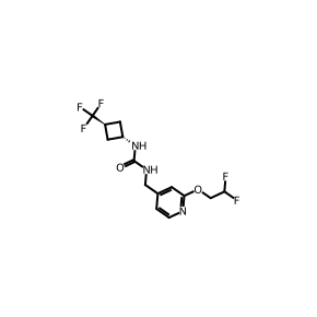 O=C(NCc1ccnc(OCC(F)F)c1)N[C@H]1C[C@H](C(F)(F)F)C1